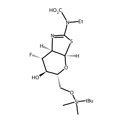 CCN(C(=O)O)C1=N[C@@H]2[C@@H](F)[C@H](O)[C@@H](CO[Si](C)(C)C(C)(C)C)O[C@@H]2S1